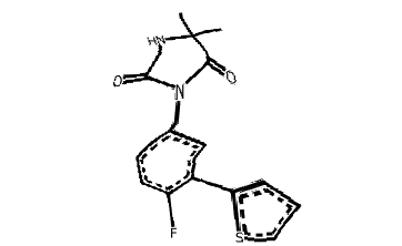 CC1(C)NC(=O)N(c2ccc(F)c(-c3cccs3)c2)C1=O